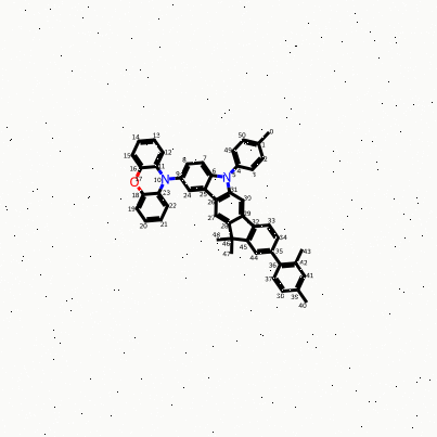 Cc1ccc(-n2c3ccc(N4c5ccccc5Oc5ccccc54)cc3c3cc4c(cc32)-c2ccc(-c3ccc(C)cc3C)cc2C4(C)C)cc1